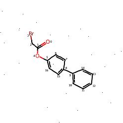 O=C(CBr)Oc1ccc(-c2ccccc2)cc1